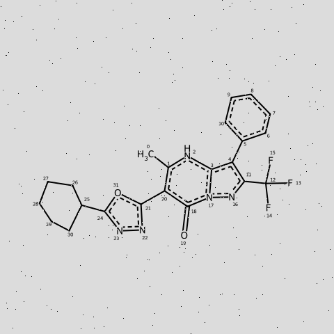 Cc1[nH]c2c(-c3ccccc3)c(C(F)(F)F)nn2c(=O)c1-c1nnc(C2CCCCC2)o1